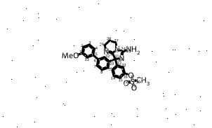 COc1cccc(-c2cccc(C3(c4cccc(OS(C)(=O)=O)c4)N=C(N)N4CCCN=C43)c2)c1